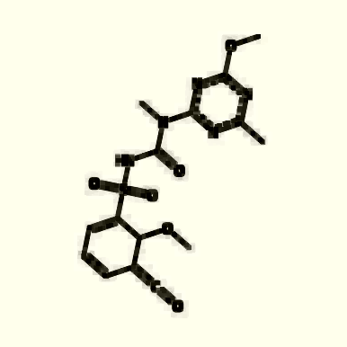 COc1nc(C)nc(N(C)C(=O)NS(=O)(=O)C2=CC=CC(=C=O)C2OC)n1